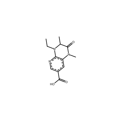 CCN1c2ncc(C(=O)O)cc2N(C)C(=O)C1C